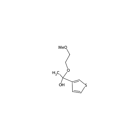 [CH2]C(O)(OCCOC)c1ccsc1